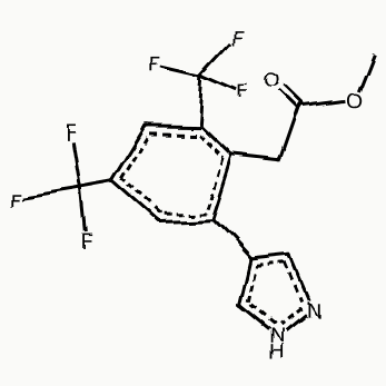 COC(=O)Cc1c(-c2cn[nH]c2)cc(C(F)(F)F)cc1C(F)(F)F